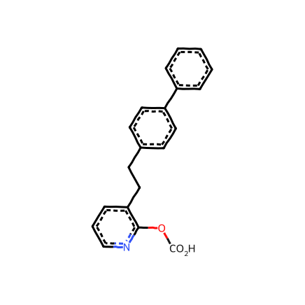 O=C(O)Oc1ncccc1CCc1ccc(-c2ccccc2)cc1